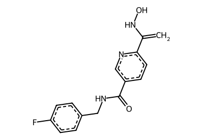 C=C(NO)c1ccc(C(=O)NCc2ccc(F)cc2)cn1